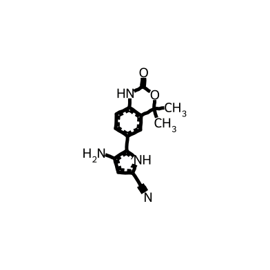 CC1(C)OC(=O)Nc2ccc(-c3[nH]c(C#N)cc3N)cc21